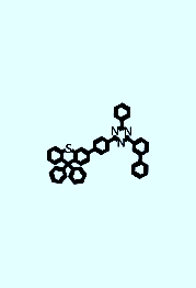 c1ccc(-c2cccc(-c3nc(-c4ccccc4)nc(-c4ccc(-c5ccc6c(c5)Sc5ccccc5C6(c5ccccc5)c5ccccc5)cc4)n3)c2)cc1